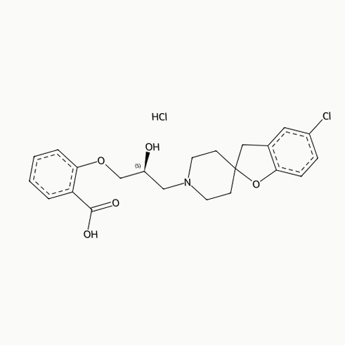 Cl.O=C(O)c1ccccc1OC[C@@H](O)CN1CCC2(CC1)Cc1cc(Cl)ccc1O2